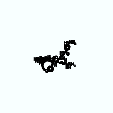 CC(C)C[C@H]1C(=O)N[C@H](C(=O)N[C@@H](CCCNC(=N)N)C(=O)NCCNC(=O)c2ccc(NN)nc2)Cc2ccc(cc2)OCCC[C@@H]1C(=O)NO